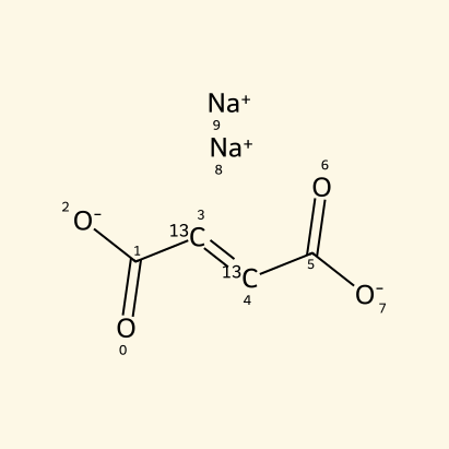 O=C([O-])/[13CH]=[13CH]/C(=O)[O-].[Na+].[Na+]